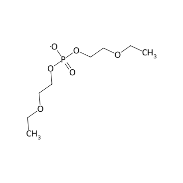 CCOCCOP([O])(=O)OCCOCC